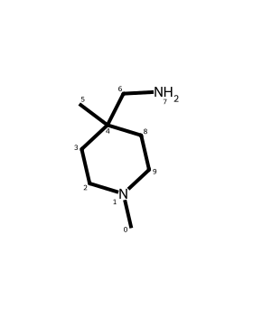 CN1CCC(C)(CN)CC1